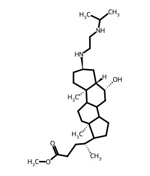 COC(=O)CC[C@@H](C)C1CCC2C3C[C@@H](O)[C@H]4C[C@H](NCCNC(C)C)CC[C@]4(C)C3CC[C@@]21C